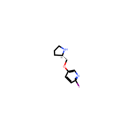 Ic1ccc(OC[C@@H]2CCCN2)cn1